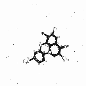 Cc1cn2c3c(c(F)c(F)cc3c1=O)Oc1cc(C(F)(F)F)ccc1-2